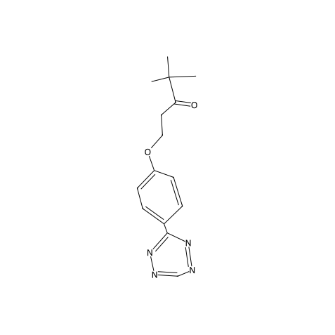 CC(C)(C)C(=O)CCOc1ccc(-c2nncnn2)cc1